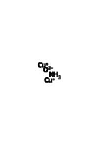 N.[Cu+].[Cu+].[O-2]